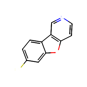 Sc1ccc2c(c1)oc1ccncc12